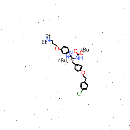 CCCCn1c([C@@H](Cc2ccc(OCCc3ccc(Cl)cc3)cc2)NC(=O)OC(C)(C)C)nc2ccc(OCCCN(CC)CC)cc21